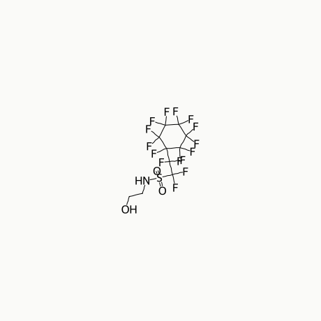 O=S(=O)(NCCO)C(F)(F)C(F)(F)C1(F)C(F)(F)C(F)(F)C(F)(F)C(F)(F)C1(F)F